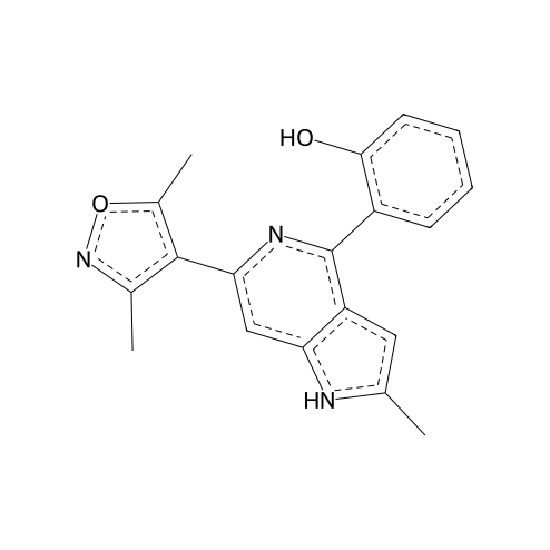 Cc1cc2c(-c3ccccc3O)nc(-c3c(C)noc3C)cc2[nH]1